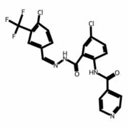 O=C(Nc1ccc(Cl)cc1C(=O)N/N=C\c1ccc(Cl)c(C(F)(F)F)c1)c1ccncc1